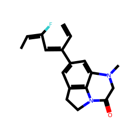 C=C/C(=C\C(F)=C/C)c1cc2c3c(c1)N(C)CC(=O)N3CC2